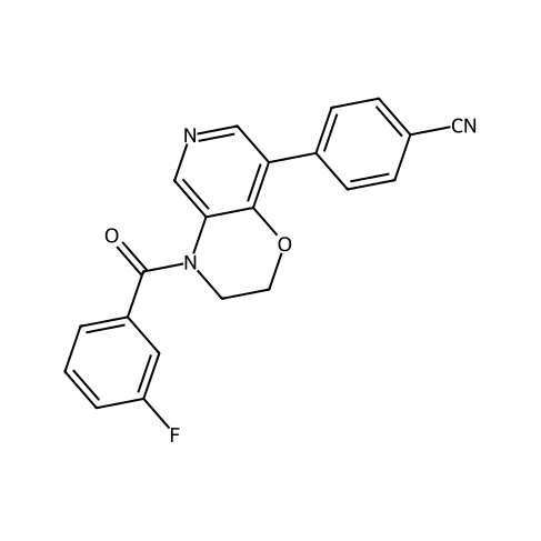 N#Cc1ccc(-c2cncc3c2OCCN3C(=O)c2cccc(F)c2)cc1